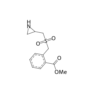 COC(=O)c1ccccc1CS(=O)(=O)CC1CN1